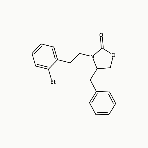 CCc1ccccc1CCN1C(=O)OCC1Cc1ccccc1